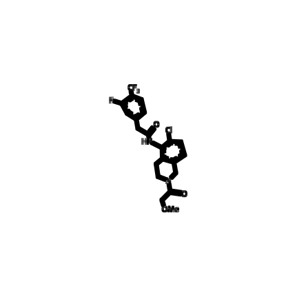 COCC(=O)N1CCc2c(ccc(Cl)c2NC(=O)Cc2ccc(C(F)(F)F)c(F)c2)C1